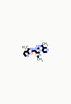 Cc1nc2nc(NC(C)c3cccnc3)nc(C(=O)NC(C)c3cccnc3)c2s1